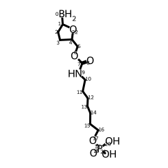 BC1CCC(COC(=O)NCCCCCCCOP(=O)(O)O)O1